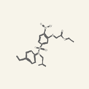 CCOC(=O)CSc1cc(S(=O)(=O)N(CC(C)C)c2ccc(CC)cc2)ccc1[N+](=O)[O-]